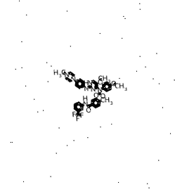 COc1ccc(N(C(=O)Oc2cc(C(=O)Nc3cccc(C(F)(F)F)c3)ccc2C)c2ccnc(Nc3ccc(N4CCN(C)CC4)cc3)n2)c(OC)c1